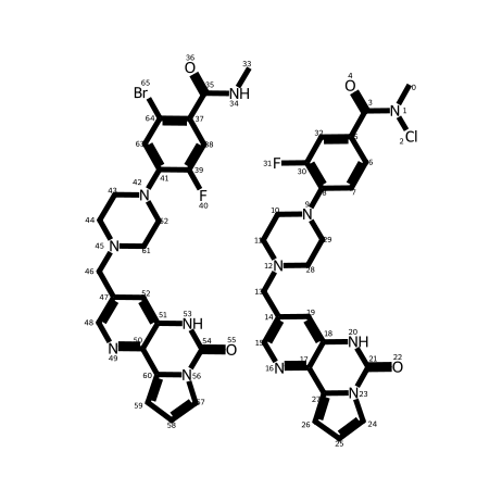 CN(Cl)C(=O)c1ccc(N2CCN(Cc3cnc4c(c3)[nH]c(=O)n3cccc43)CC2)c(F)c1.CNC(=O)c1cc(F)c(N2CCN(Cc3cnc4c(c3)[nH]c(=O)n3cccc43)CC2)cc1Br